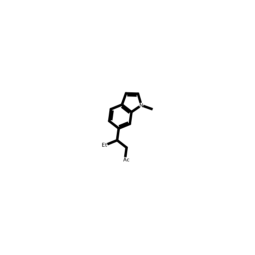 CCC(CC(C)=O)c1ccc2ccn(C)c2c1